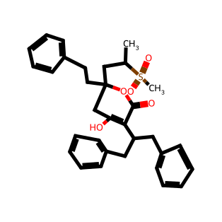 CC(CC1(CCc2ccccc2)CC(O)=C(C(Cc2ccccc2)Cc2ccccc2)C(=O)O1)S(C)(=O)=O